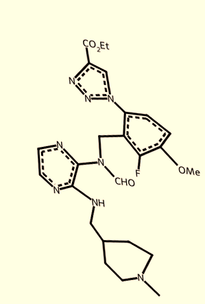 CCOC(=O)c1cn(-c2ccc(OC)c(F)c2CN(C=O)c2nccnc2NCC2CCN(C)CC2)nn1